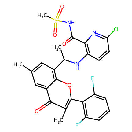 Cc1cc(C(C)Nc2ccc(Cl)nc2C(=O)NS(C)(=O)=O)c2oc(-c3c(F)cccc3F)c(C)c(=O)c2c1